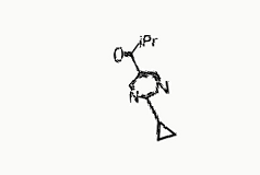 CC(C)C(=O)c1cnc(C2CC2)nc1